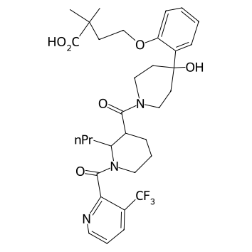 CCCC1C(C(=O)N2CCC(O)(c3ccccc3OCCC(C)(C)C(=O)O)CC2)CCCN1C(=O)c1ncccc1C(F)(F)F